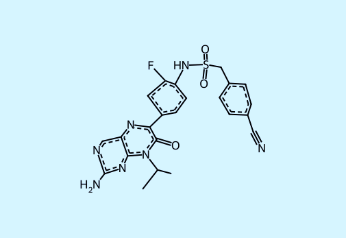 CC(C)n1c(=O)c(-c2ccc(NS(=O)(=O)Cc3ccc(C#N)cc3)c(F)c2)nc2cnc(N)nc21